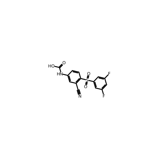 N#Cc1cc(NC(=O)O)ccc1S(=O)(=O)c1cc(F)cc(F)c1